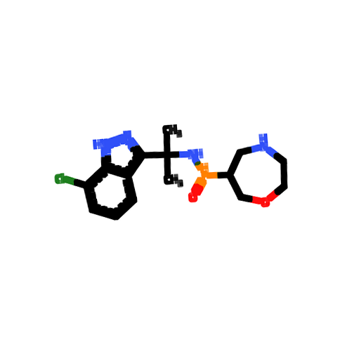 CC(C)(N[PH](=O)C1CNCCOC1)c1n[nH]c2c(Cl)cccc12